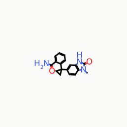 Cn1c(=O)[nH]c2cc(C3(c4ccccc4C(N)=O)CC3)ccc21